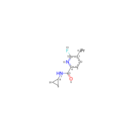 CC(C)c1ccc(C(=O)NC2CC2)nc1F